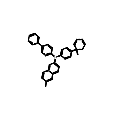 Cc1ccc2cc(N(c3ccc(-c4ccccc4)cc3)c3ccc(C4(C)C=CC=CC4)cc3)ccc2c1